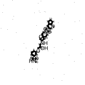 CNS(=O)(=O)c1cccc(OC[C@@H](O)CNC2COC3(CCN(S(=O)(=O)c4cnc5c(c4)CCC5)CC3)C2)c1